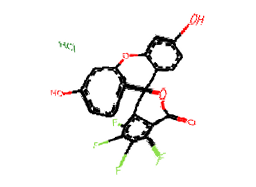 Cl.O=C1OC2(c3ccc(O)cc3Oc3cc(O)ccc32)c2c(F)c(F)c(F)c(F)c21